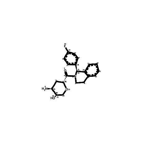 N[C@H]1C[C@H](C(=O)N2CCc3ccccc3[C@@H]2c2ccc(F)cc2)OC[C@@H]1O